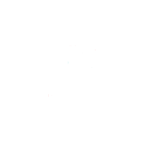 O=C(O)C(F)(F)c1cccc(O)c1